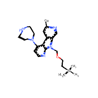 C[Si](C)(C)CCOCn1c2cnc(C#N)cc2c2c(N3CCNCC3)ccnc21